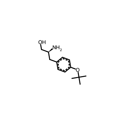 CC(C)(C)Oc1ccc(C[C@H](N)CO)cc1